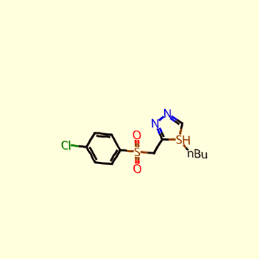 CCCC[SH]1C=NN=C1CS(=O)(=O)c1ccc(Cl)cc1